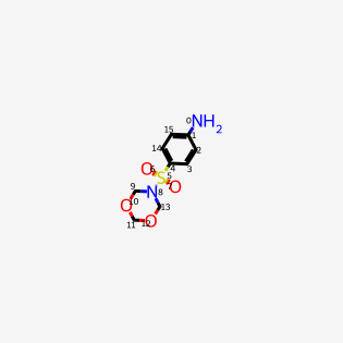 Nc1ccc(S(=O)(=O)N2COCOC2)cc1